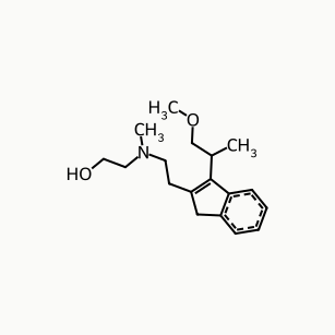 COCC(C)C1=C(CCN(C)CCO)Cc2ccccc21